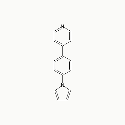 [c]1ccn(-c2ccc(-c3ccncc3)cc2)c1